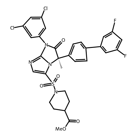 COC(=O)C1CCN(S(=O)(=O)c2cnc3n2[C@](C)(c2ccc(-c4cc(F)cc(F)c4)cc2)C(=O)N3c2cc(Cl)cc(Cl)c2)CC1